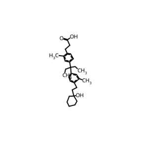 CCC(CC)(c1ccc(CCC(=O)O)c(C)c1)c1ccc(CCC2(O)CCCCC2)c(C)c1